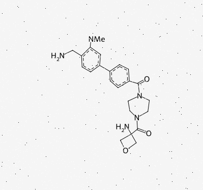 CNc1cc(-c2ccc(C(=O)N3CCN(C(=O)C4(N)COC4)CC3)cc2)ccc1CN